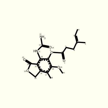 CC=C(C)CCC(=O)Oc1c(NC(N)=O)c2c(c(C)c1OC)COC2=O